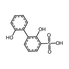 O=S(=O)(O)c1cccc(-c2ccccc2O)c1O